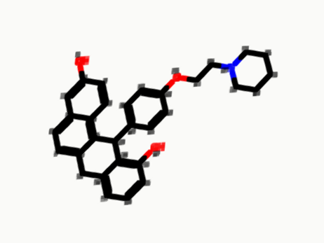 Oc1ccc2c3c(ccc2c1)Cc1cccc(O)c1C3c1ccc(OCCN2CCCCC2)cc1